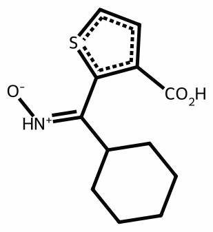 O=C(O)c1ccsc1C(=[NH+][O-])C1CCCCC1